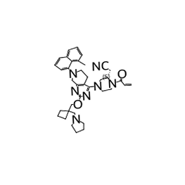 C=CC(=O)N1CCN(c2nc(OCC3(CN4CCCC4)CCC3)nc3c2CCN(c2cccc4cccc(C)c24)C3)C[C@@H]1CC#N